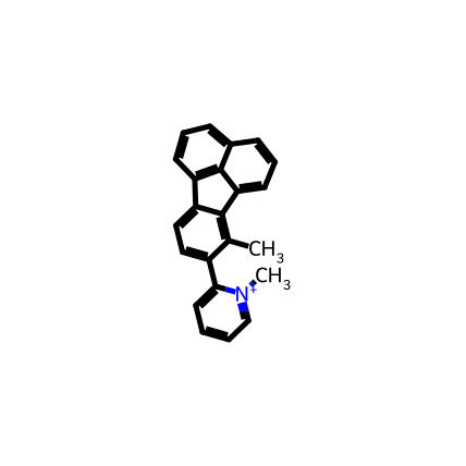 Cc1c(-c2cccc[n+]2C)ccc2c1-c1cccc3cccc-2c13